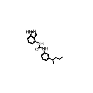 CCCC(C)c1cccc(NC(=O)Nc2cccc3[nH]ncc23)c1